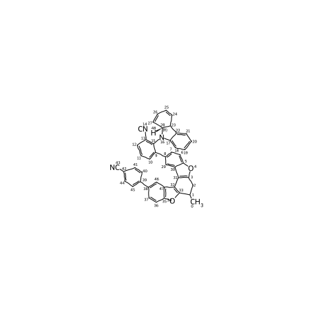 CC1Cc2oc3ccc(-c4cccc(C#N)c4N4c5ccccc5C5C=CC=C[C@H]54)cc3c2-c2c1oc1ccc(-c3ccc(C#N)cc3)cc21